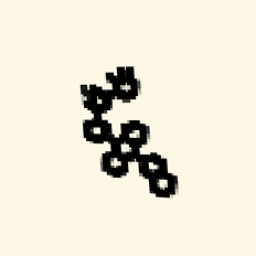 Cc1ncccc1-c1cncc(-c2cccc(C3=c4ccccc4=C(c4ccc5c(c4)CCC=C5)C4C=CC=CC34)c2)c1